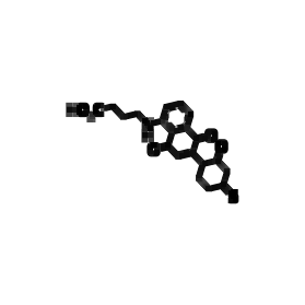 O=C(O)CCCNc1cccc2c1C(=O)C=C(C1CCC(=S)CC1=O)C2=O